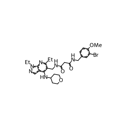 CCc1nc2c(cnn2CC)c(NC2CCOCC2)c1CNC(=O)CC(=O)NCc1ccc(OC)c(Br)c1